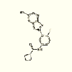 CC(C)c1cnc2nn(-c3cc(NC(=O)C4CCC4)ccc3F)cc2c1